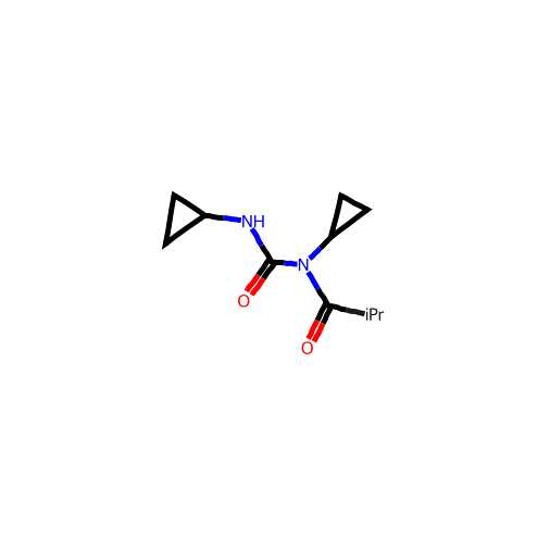 CC(C)C(=O)N(C(=O)NC1CC1)C1CC1